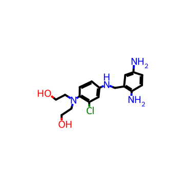 Nc1ccc(N)c(CNc2ccc(N(CCO)CCO)c(Cl)c2)c1